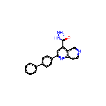 NNC(=O)c1cc(-c2ccc(-c3ccccc3)cc2)nc2ccncc12